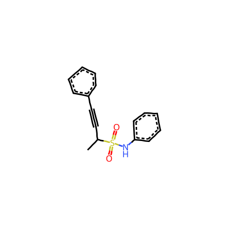 CC(C#Cc1ccccc1)S(=O)(=O)Nc1ccccc1